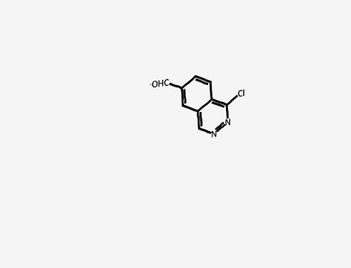 O=[C]c1ccc2c(Cl)nncc2c1